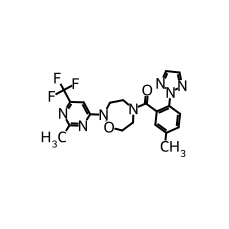 Cc1ccc(-n2nccn2)c(C(=O)N2CCON(c3cc(C(F)(F)F)nc(C)n3)CC2)c1